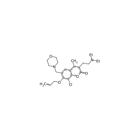 C=CCOc1c(CN2CCOCC2)cc2c(C)c(CCN(CC)CC)c(=O)oc2c1Cl